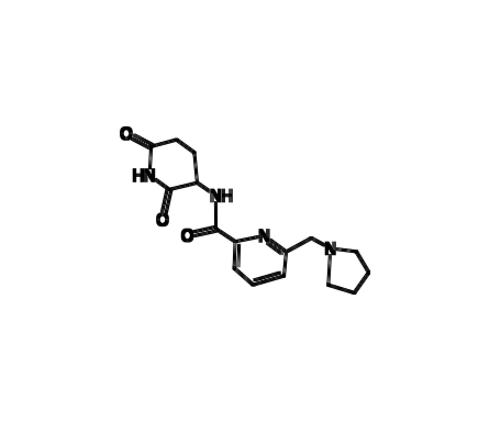 O=C1CCC(NC(=O)c2cccc(CN3CCCC3)n2)C(=O)N1